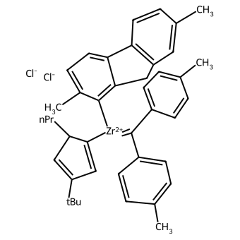 CCCC1C=C(C(C)(C)C)C=[C]1[Zr+2](=[C](c1ccc(C)cc1)c1ccc(C)cc1)[c]1c(C)ccc2c1Cc1cc(C)ccc1-2.[Cl-].[Cl-]